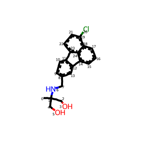 CC(CO)(CO)NCc1ccc2c(c1)-c1cccc3c(Cl)ccc-2c13